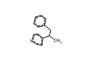 C[C](Cc1ccccc1)c1ccncc1